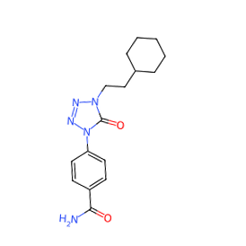 NC(=O)c1ccc(-n2nnn(CCC3CCCCC3)c2=O)cc1